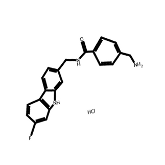 Cl.NCc1ccc(C(=O)NCc2ccc3c(c2)[nH]c2cc(F)ccc23)cc1